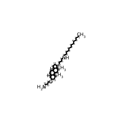 CCCCCCCCCCCCCNCCCC[C@H]1CCC2[C@@H]3CC[C@@H]4C[C@H](OCCCN)CC[C@]4(C)C3CC[C@@]21C